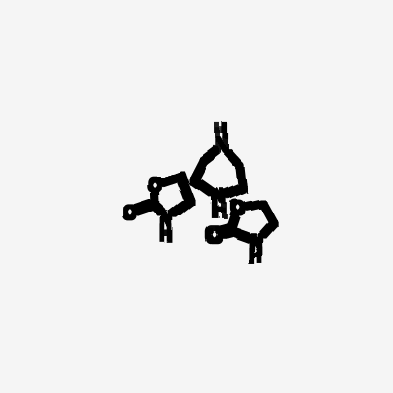 C1CNCCN1.O=C1NCCO1.O=C1NCCO1